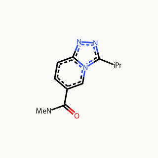 CNC(=O)c1ccc2nnc(C(C)C)n2c1